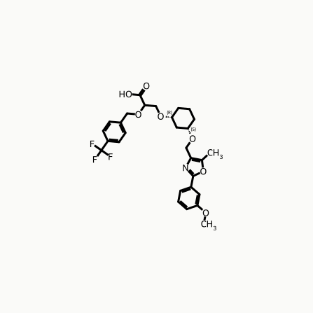 COc1cccc(-c2nc(CO[C@H]3CCC[C@@H](OCC(OCc4ccc(C(F)(F)F)cc4)C(=O)O)C3)c(C)o2)c1